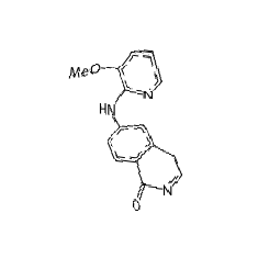 COc1cccnc1Nc1ccc2c(c1)CC=NC2=O